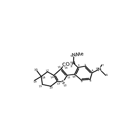 CNCc1cc(N(C)C)ccc1-c1sc2c(c1C(=O)O)CC(C)(C)CC2